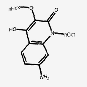 CCCCCCCCn1c(=O)c(OCCCCCC)c(O)c2ccc(N)cc21